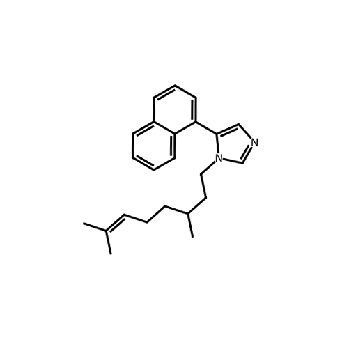 CC(C)=CCCC(C)CCn1cncc1-c1cccc2ccccc12